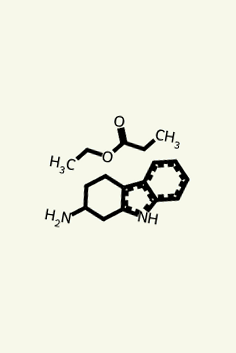 CCOC(=O)CC.NC1CCc2c([nH]c3ccccc23)C1